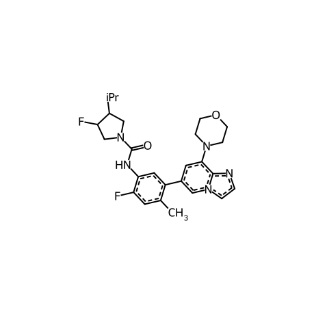 Cc1cc(F)c(NC(=O)N2CC(F)C(C(C)C)C2)cc1-c1cc(N2CCOCC2)c2nccn2c1